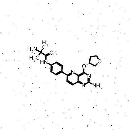 CC(C)(N)C(=O)Nc1ccc(-c2ccc3nc(N)nc(O[C@@H]4CCOC4)c3n2)cc1